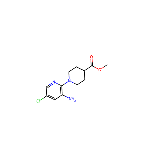 COC(=O)C1CCN(c2ncc(Cl)cc2N)CC1